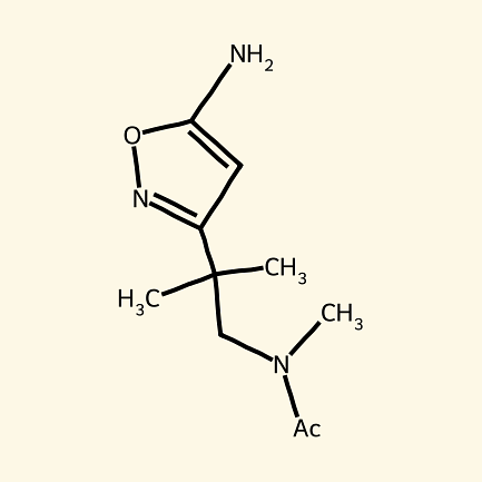 CC(=O)N(C)CC(C)(C)c1cc(N)on1